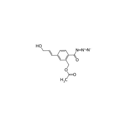 CC(=O)OCc1cc(/C=C/CO)ccc1C(=O)N=[N+]=[N-]